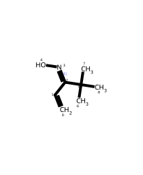 C=C/C(=N\O)C(C)(C)C